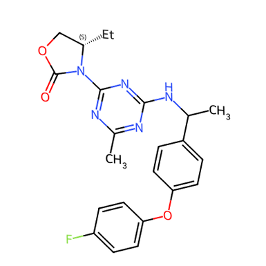 CC[C@H]1COC(=O)N1c1nc(C)nc(NC(C)c2ccc(Oc3ccc(F)cc3)cc2)n1